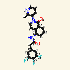 Cc1ncccc1-n1ccc2c(NC(=O)Cc3cc(F)c(F)c(F)c3)cccc2c1=O